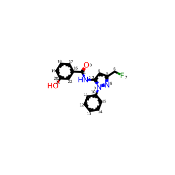 O=C(Nc1cc(CF)nn1-c1ccccc1)c1cccc(O)c1